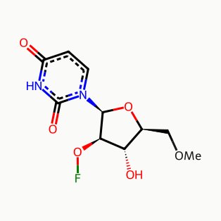 COC[C@@H]1O[C@H](n2ccc(=O)[nH]c2=O)[C@H](OF)[C@H]1O